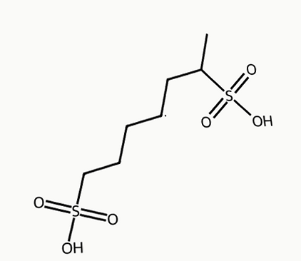 CC(C[CH]CCCS(=O)(=O)O)S(=O)(=O)O